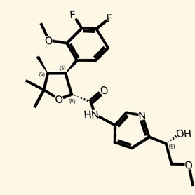 COC[C@@H](O)c1ccc(NC(=O)[C@@H]2OC(C)(C)[C@@H](C)[C@H]2c2ccc(F)c(F)c2OC)cn1